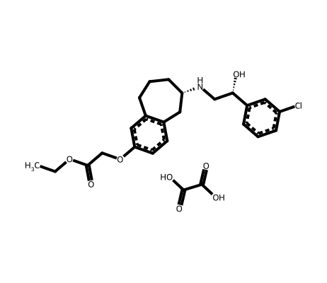 CCOC(=O)COc1ccc2c(c1)CCC[C@H](NC[C@H](O)c1cccc(Cl)c1)C2.O=C(O)C(=O)O